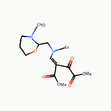 CCN(/C=C(/C(=O)OC)C(=O)C(=O)OC)CC1OCCCN1C=O